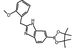 COc1ccccc1Cc1nc2ccc(B3OC(C)(C)C(C)(C)O3)cc2[nH]1